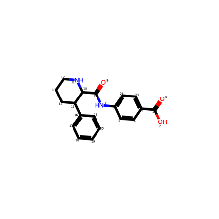 O=C(O)c1ccc(NC(=O)C2NCCCC2c2ccccc2)cc1